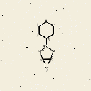 C1CCC(N2CC3OC3C2)CC1